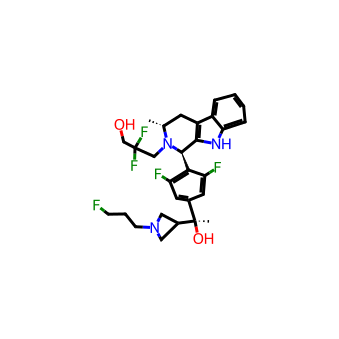 C[C@@H]1Cc2c([nH]c3ccccc23)[C@@H](c2c(F)cc([C@@](C)(O)C3CN(CCCF)C3)cc2F)N1CC(F)(F)CO